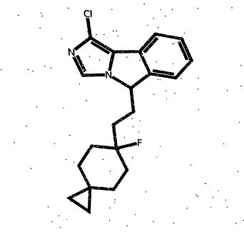 FC1(CCC2c3ccccc3-c3c(Cl)ncn32)CCC2(CC1)CC2